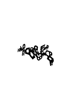 CNC(=O)Nc1ccc2c(c1)CC[C@]21OC(=O)N(CC(=O)N2Cc3cc(F)ccc3OC[C@H]2C(F)(F)F)C1=O